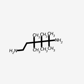 CC(C)(N)C(C)(C)C(C)(C)CCN